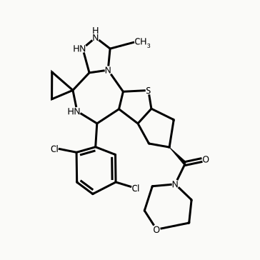 CC1NNC2N1C1SC3C[C@@H](C(=O)N4CCOCC4)CC3C1C(c1cc(Cl)ccc1Cl)NC21CC1